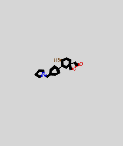 O=C1C[C@@]2(CCC(S)[C@H](c3ccc(CN4CCCC4)cc3)C2)CO1